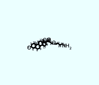 C[C@]12CCC(=O)C=C1CCC1C2=CC[C@@]2(C)C1CC[C@]2(O)C1OC1COCCCCN